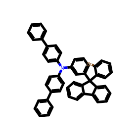 Brc1ccccc1C1(c2cccc(N(c3ccc(-c4ccccc4)cc3)c3ccc(-c4ccccc4)cc3)c2)c2ccccc2-c2ccccc21